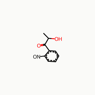 CC(O)C(=O)c1ccccc1N=O